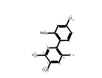 COc1cc(C(F)(F)F)ccc1-c1nc(N)c([N+](=O)[O-])cc1F